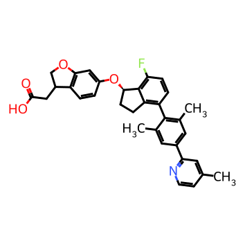 Cc1ccnc(-c2cc(C)c(-c3ccc(F)c4c3CC[C@H]4Oc3ccc4c(c3)OCC4CC(=O)O)c(C)c2)c1